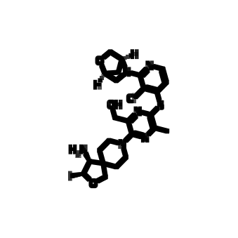 Cc1nc(N2CCC3(CC2)CO[C@@H](I)[C@H]3N)c(CO)nc1Sc1ccnc(N2C[C@@H]3C[C@H]2CO3)c1Cl